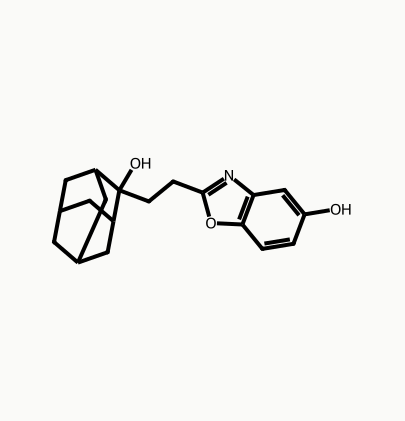 Oc1ccc2oc(CCC3(O)C4CC5CC(C4)CC3C5)nc2c1